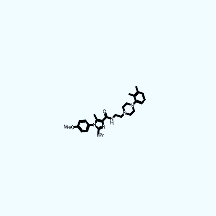 CCCc1nc(C(=O)NCCN2CCN(c3cccc(C)c3C)CC2)c(C)n1-c1ccc(OC)cc1